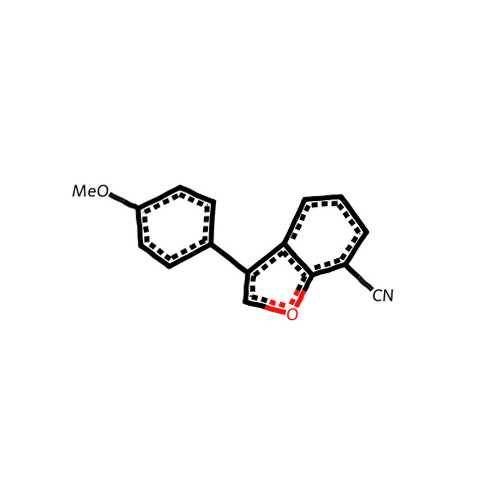 COc1ccc(-c2coc3c(C#N)cccc23)cc1